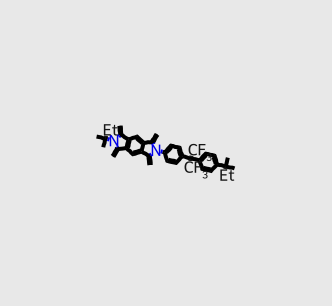 C=c1c2cc3c(=C)n(C(C)(C)CC)c(=C)c3cc2c(=C)n1-c1ccc(C(c2ccc(C(C)(C)CC)cc2)(C(F)(F)F)C(F)(F)F)cc1